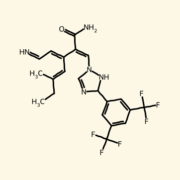 CC/C(C)=C/C(=C\C=N)C(=C\N1C=NC(c2cc(C(F)(F)F)cc(C(F)(F)F)c2)N1)/C(N)=O